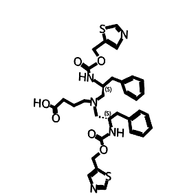 O=C(O)CCCN(C[C@H](Cc1ccccc1)NC(=O)OCc1cncs1)C[C@H](Cc1ccccc1)NC(=O)OCc1cncs1